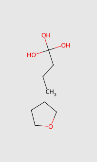 C1CCOC1.CCCC(O)(O)O